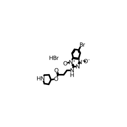 Br.O=C(CCNc1n[n+]([O-])c2cc(Br)ccc2[n+]1[O-])OC1CCNCC1